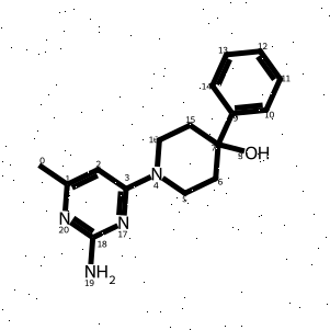 Cc1cc(N2CCC(O)(c3ccccc3)CC2)nc(N)n1